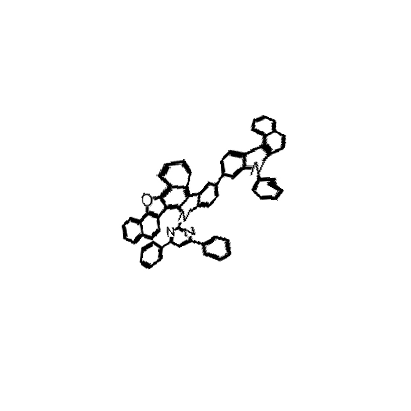 c1ccc(-c2cc(-c3ccccc3)nc(-n3c4ccc(-c5ccc6c7c8ccccc8ccc7n(-c7ccccc7)c6c5)cc4c4c5ccccc5c5oc6c7ccccc7ccc6c5c43)n2)cc1